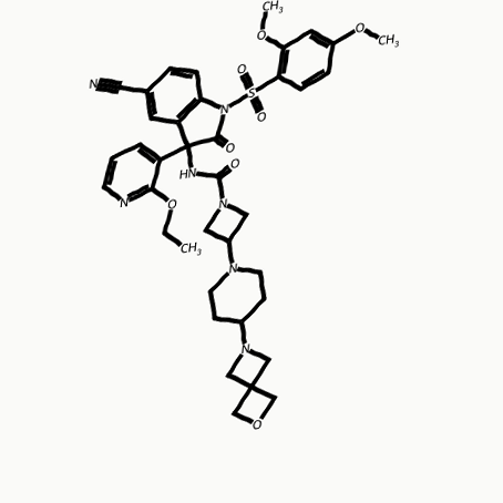 CCOc1ncccc1C1(NC(=O)N2CC(N3CCC(N4CC5(COC5)C4)CC3)C2)C(=O)N(S(=O)(=O)c2ccc(OC)cc2OC)c2ccc(C#N)cc21